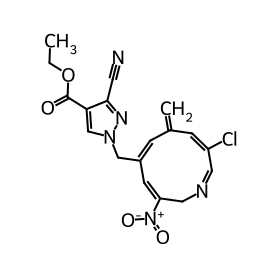 C=C1/C=C(Cl)\C=N/C/C([N+](=O)[O-])=C\C(Cn2cc(C(=O)OCC)c(C#N)n2)=C/1